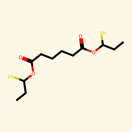 CCC(S)OC(=O)CCCCC(=O)OC(S)CC